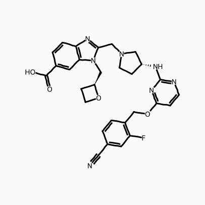 N#Cc1ccc(COc2ccnc(N[C@@H]3CCN(Cc4nc5ccc(C(=O)O)cc5n4C[C@@H]4CCO4)C3)n2)c(F)c1